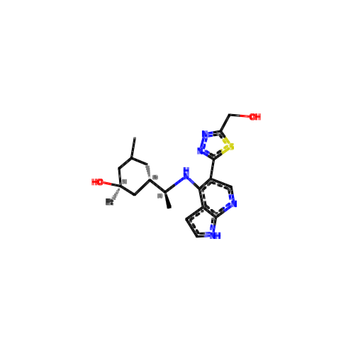 CC[C@]1(O)CC(C)C[C@H]([C@H](C)Nc2c(-c3nnc(CO)s3)cnc3[nH]ccc23)C1